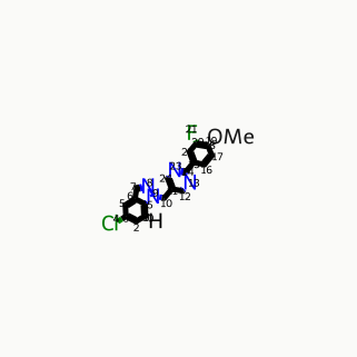 [2H]c1cc(Cl)cc2cnn(Cc3cnc(-c4ccc(OC)c(F)c4)nc3)c12